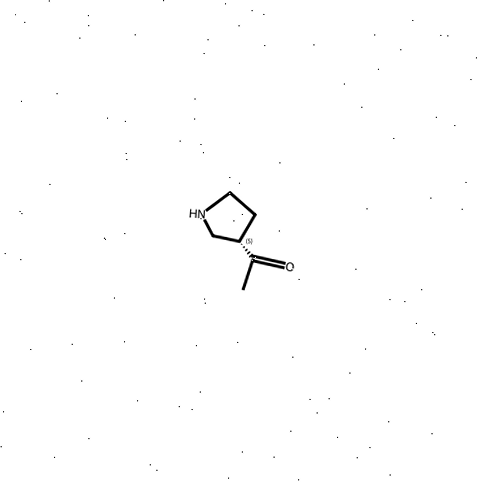 CC(=O)[C@H]1CCNC1